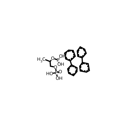 CC(COP(=O)(O)O)OP(O)O.c1ccc(-c2ccccc2)cc1.c1ccc(-c2ccccc2)cc1